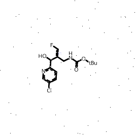 CC(C)(C)OC(=O)NC/C(=C/F)C(O)c1ccc(Cl)cn1